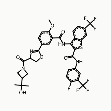 COc1ccc(C2=NC(C(=O)N3CC(C(C)(C)O)C3)CO2)cc1C(=O)Nc1c(C(=O)Nc2ccc(F)c(C(F)(F)F)c2)sc2cc(C(F)(F)F)ccc12